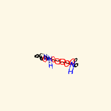 Cc1c(COc2ccc(CNCCOCCOCCOCCOCCC(=O)NC(C3CCCCC3)C3CCCCC3)cn2)cccc1-c1ccccc1